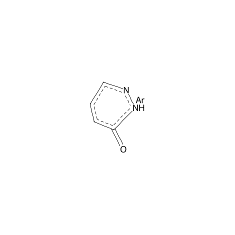 O=c1cccn[nH]1.[Ar]